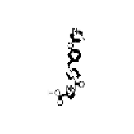 O=C(O)c1ccn(C(=O)N2CCN(Cc3cccc(Oc4cncnc4)c3)CC2)n1